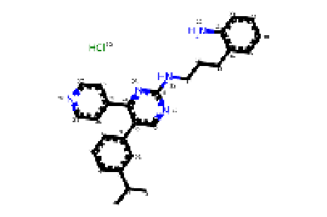 CC(C)c1cccc(-c2cnc(NCCCc3ccccc3N)nc2-c2ccncc2)c1.Cl